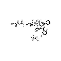 CC(C)(C)[C@H](c1cc(-c2cc(F)ccc2F)cn1Cc1ccccc1)N(CC[C@H](N)C(=O)NCCNC(=O)CNC(=O)CBr)C(=O)CO.O=C(O)C(F)(F)F